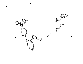 C=C(CCCCCCCOc1ccccc1-c1ccc([N+](=O)[O-])cc1)C(=O)O